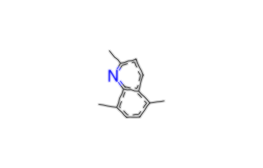 Cc1ccc2c(C)ccc(C)c2n1